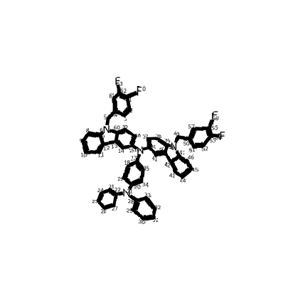 Fc1ccc(Cn2c3ccccc3c3cc(N(c4ccc(N(c5ccccc5)c5ccccc5)cc4)c4ccc5c(c4)c4ccccc4n5Cc4ccc(F)c(F)c4)ccc32)cc1F